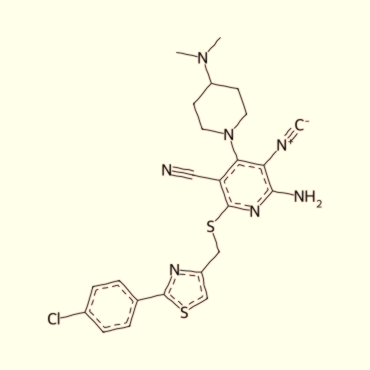 [C-]#[N+]c1c(N)nc(SCc2csc(-c3ccc(Cl)cc3)n2)c(C#N)c1N1CCC(N(C)C)CC1